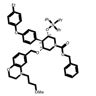 CCc1ccc(Oc2ccc([C@@H]3[C@@H](OCc4ccc5c(c4)N(CCCOC)CCO5)CN(C(=O)OCc4ccccc4)C[C@H]3O[Si](C(C)C)(C(C)C)C(C)C)cc2)cc1